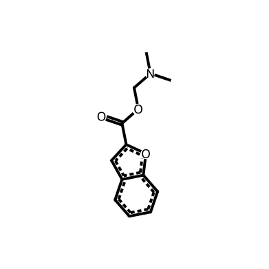 CN(C)COC(=O)c1cc2ccccc2o1